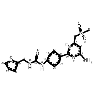 CS(=O)(=O)Cc1cc(N)nc(-c2ccc(NC(=O)NCc3ccco3)cc2)n1